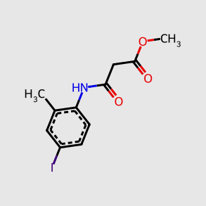 COC(=O)CC(=O)Nc1ccc(I)cc1C